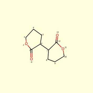 O=C1OCC[C]C1C1CCCOC1=O